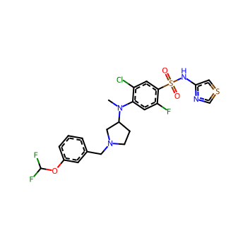 CN(c1cc(F)c(S(=O)(=O)Nc2cscn2)cc1Cl)C1CCN(Cc2cccc(OC(F)F)c2)C1